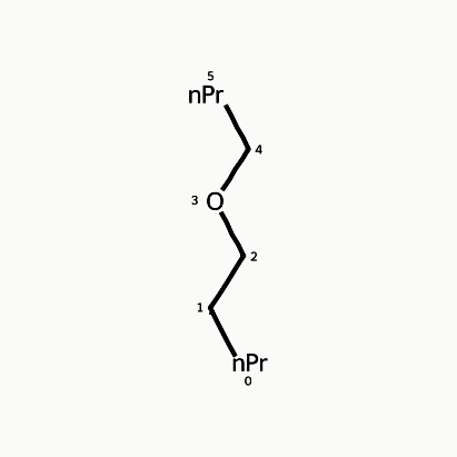 CCC[CH]COCCCC